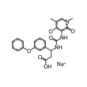 Cc1cn(C)c(=O)c(NC(=O)NC(CC(=O)O)c2cccc(Oc3ccccc3)c2)c1[O-].[Na+]